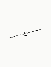 CCCCCCCCCCCCCCCC=COC=CCCCCCCCCCCCCCCC